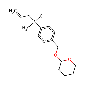 C=CC[Si](C)(C)c1ccc(COC2CCCCO2)cc1